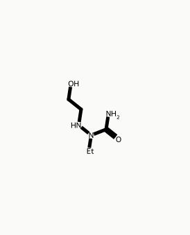 CCN(NCCO)C(N)=O